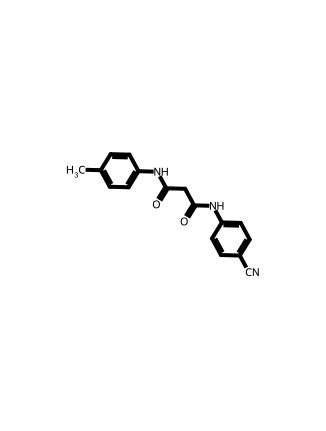 Cc1ccc(NC(=O)CC(=O)Nc2ccc(C#N)cc2)cc1